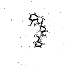 Cc1cccc(Cl)c1NC(=O)c1cnc(NC(=O)c2ccco2)[se]1